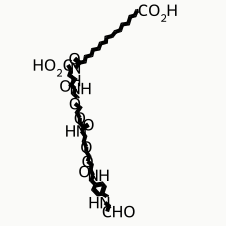 O=CCNCc1ccc(CNC(=O)COCCOCCNC(=O)COCCOCCNC(=O)CCC(NC(=O)CCCCCCCCCCCCCCCCC(=O)O)C(=O)O)cc1